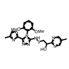 COc1cccc(OC)c1-n1c(NSCC(O)c2ncc(C)cn2)nnc1-c1nc(C)cs1